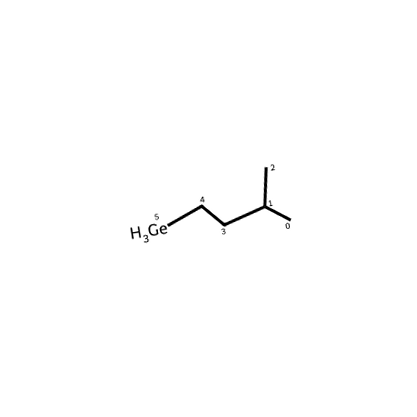 CC(C)C[CH2][GeH3]